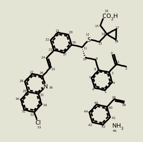 C=C(C)c1ccccc1CC[C@@H](SCC1(CC(=O)O)CC1)c1cccc(/C=C/c2ccc3ccc(Cl)cc3n2)c1.C=Cc1ccccc1.N